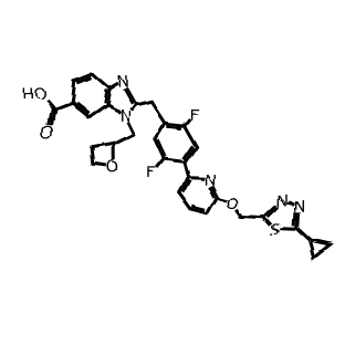 O=C(O)c1ccc2nc(Cc3cc(F)c(-c4cccc(OCc5nnc(C6CC6)s5)n4)cc3F)n(CC3CCO3)c2c1